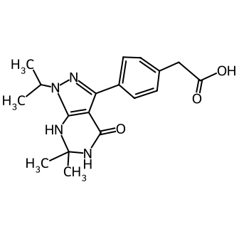 CC(C)n1nc(-c2ccc(CC(=O)O)cc2)c2c1NC(C)(C)NC2=O